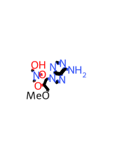 COCC1OCN(CO)OC1n1cnc2c(N)ncnc21